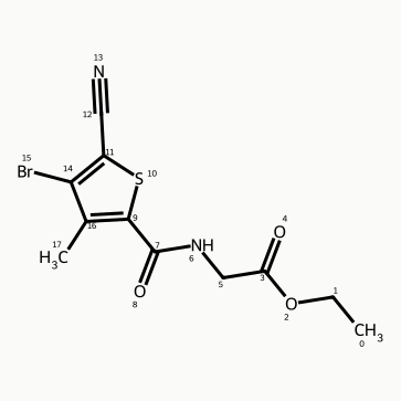 CCOC(=O)CNC(=O)c1sc(C#N)c(Br)c1C